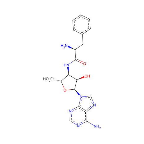 Nc1ncnc2c1ncn2[C@H]1O[C@H](C(=O)O)[C@@H](NC(=O)[C@@H](N)Cc2ccccc2)[C@H]1O